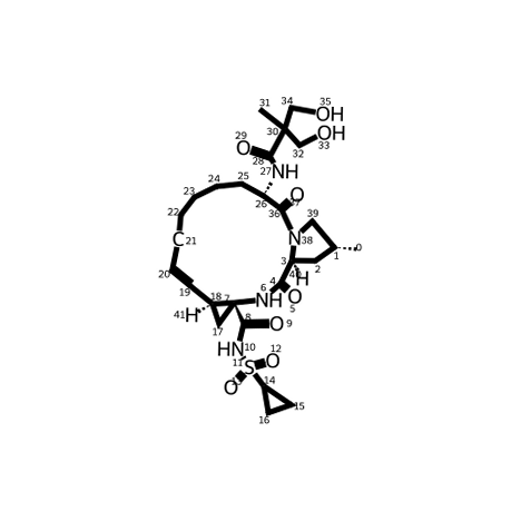 C[C@@H]1C[C@H]2C(=O)N[C@]3(C(=O)NS(=O)(=O)C4CC4)C[C@H]3/C=C\CCCCC[C@H](NC(=O)C(C)(CO)CO)C(=O)N2C1